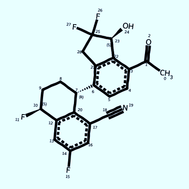 CC(=O)c1ccc([C@H]2CC[C@H](F)c3cc(F)cc(C#N)c32)c2c1[C@H](O)C(F)(F)C2